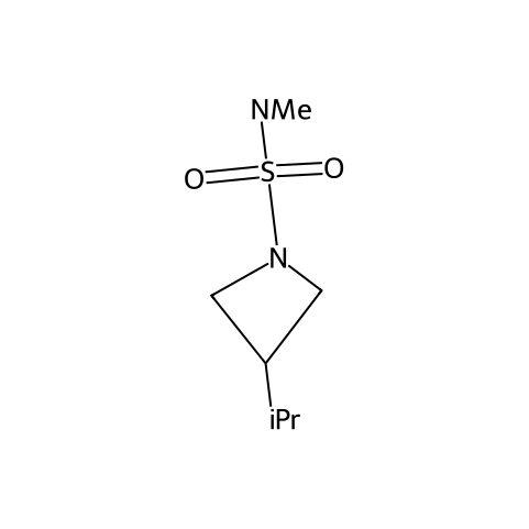 CNS(=O)(=O)N1CC(C(C)C)C1